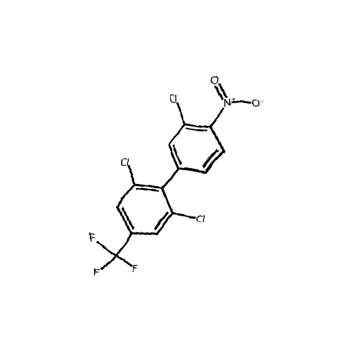 O=[N+]([O-])c1ccc(-c2c(Cl)cc(C(F)(F)F)cc2Cl)cc1Cl